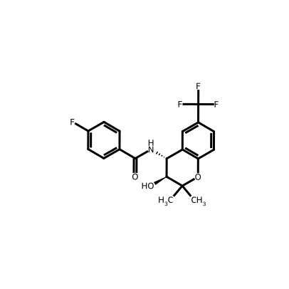 CC1(C)Oc2ccc(C(F)(F)F)cc2[C@@H](NC(=O)c2ccc(F)cc2)[C@@H]1O